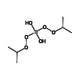 CC(C)O[O][Ti]([OH])([OH])[O]OC(C)C